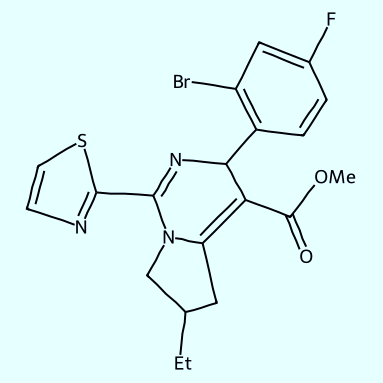 CCC1CC2=C(C(=O)OC)C(c3ccc(F)cc3Br)N=C(c3nccs3)N2C1